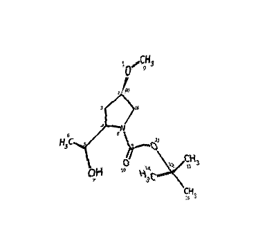 CO[C@@H]1CC(C(C)O)N(C(=O)OC(C)(C)C)C1